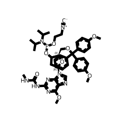 [C-]#[N+]CCOP(OC1C[C@H](n2cnc3c(OC)nc(NC(=O)NC)nc32)O[C@@H]1COC(c1ccccc1)(c1ccc(OC)cc1)c1ccc(OC)cc1)N(C(C)C)C(C)C